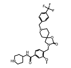 COc1cc(C(=O)NC2CCNCC2)ccc1CN1CC2(CCN(Cc3ccc(C(F)(F)F)cc3)CC2)OC1=O